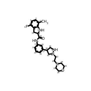 Cc1ccc(F)c2c1NC(C(=O)Nc1cccc(C3CNN(CCN4CCOCC4)C3)c1)C2